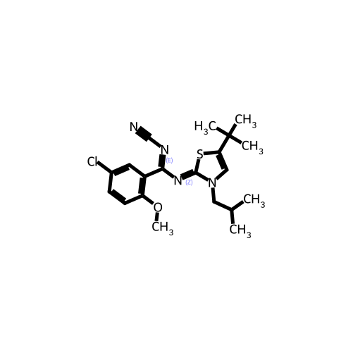 COc1ccc(Cl)cc1C(/N=c1\sc(C(C)(C)C)cn1CC(C)C)=N\C#N